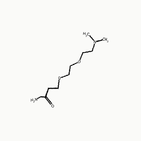 CN(C)CCOCCOCCC(N)=O